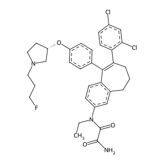 CCN(C(=O)C(N)=O)c1ccc2c(c1)CCCC(c1ccc(Cl)cc1Cl)=C2c1ccc(O[C@H]2CCN(CCCF)C2)cc1